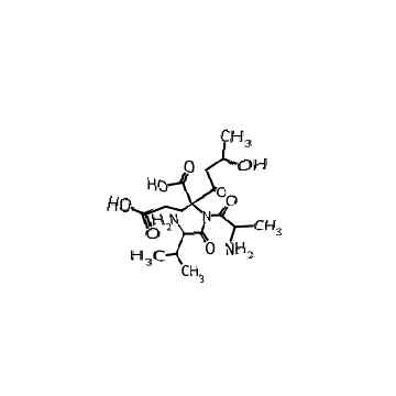 CC(O)CC(=O)C(CCC(=O)O)(C(=O)O)N(C(=O)C(C)N)C(=O)C(N)C(C)C